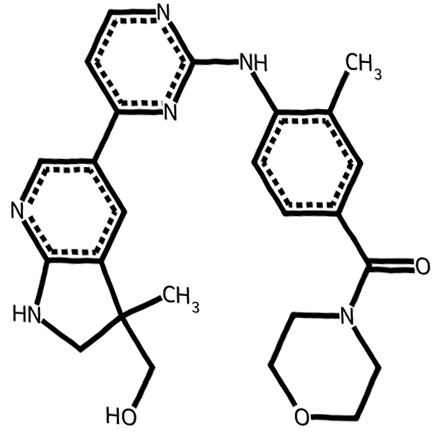 Cc1cc(C(=O)N2CCOCC2)ccc1Nc1nccc(-c2cnc3c(c2)C(C)(CO)CN3)n1